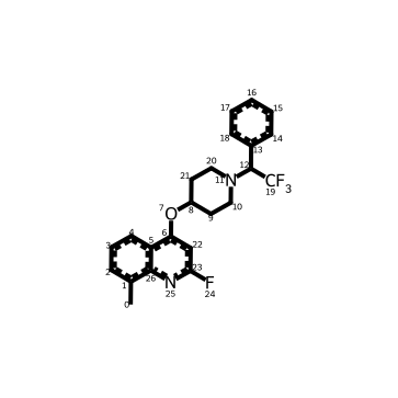 Cc1cccc2c(OC3CCN(C(c4ccccc4)C(F)(F)F)CC3)cc(F)nc12